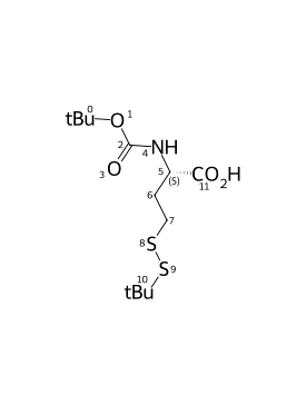 CC(C)(C)OC(=O)N[C@@H](CCSSC(C)(C)C)C(=O)O